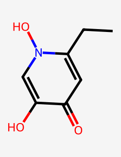 CCc1cc(=O)c(O)cn1O